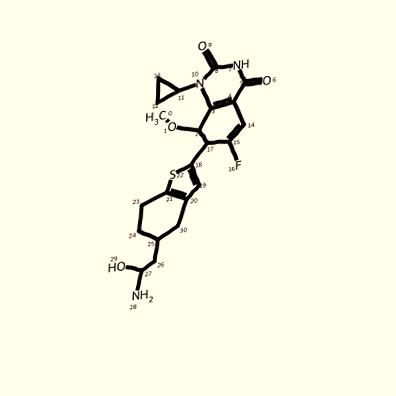 COC1c2c(c(=O)[nH]c(=O)n2C2CC2)C=C(F)C1c1cc2c(s1)CCC(CC(N)O)C2